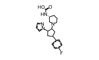 O=C(O)N[C@@H]1CCCN(C2CC(c3ccc(F)cc3)CC2n2cccn2)C1